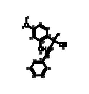 COc1ccc(C(C)(O)C#Cc2ccccc2)c(O)c1